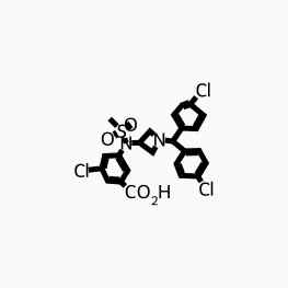 CS(=O)(=O)N(c1cc(Cl)cc(C(=O)O)c1)C1CN(C(c2ccc(Cl)cc2)c2ccc(Cl)cc2)C1